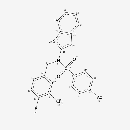 CC(=O)c1ccc(S(=O)(=O)N(Cc2ccc(F)c(C(F)(F)F)c2)c2cc3ccccc3s2)cc1